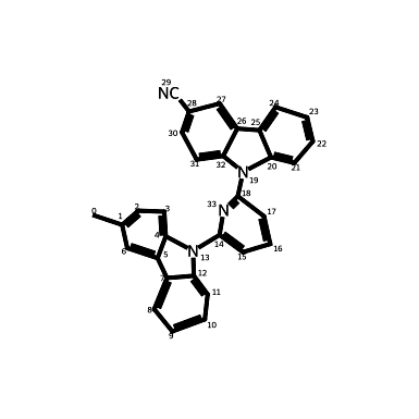 Cc1ccc2c(c1)c1ccccc1n2-c1cccc(-n2c3ccccc3c3cc(C#N)ccc32)n1